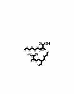 CCCCC(CC)CC=C(C)C(=O)O.CCCCCCC=C(C)C(=O)O